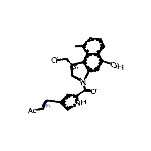 CC(=O)/C=C/c1c[nH]c(C(=O)N2C[C@@H](CCl)c3c2cc(O)c2cccc(C)c32)c1